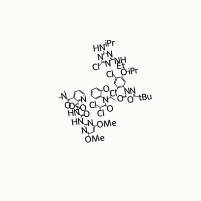 CC(C)Oc1cc(-n2nc(C(C)(C)C)oc2=O)c(Cl)cc1Cl.CC1COc2ccccc2N1C(=O)C(Cl)Cl.CCNc1nc(Cl)nc(NC(C)C)n1.COc1cc(OC)nc(NC(=O)NS(=O)(=O)c2ncccc2C(=O)N(C)C)n1